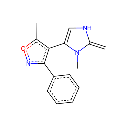 C=C1NC=C(c2c(-c3ccccc3)noc2C)N1C